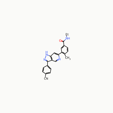 CCNC(=O)c1ccc(C)c(-c2cc3[nH]nc(-c4ccc(C#N)cc4)c3cn2)c1